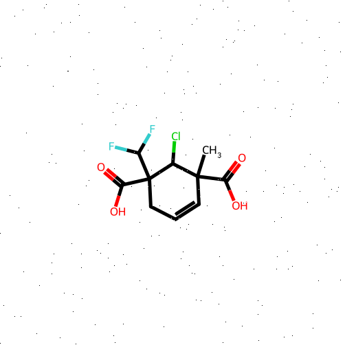 CC1(C(=O)O)C=CCC(C(=O)O)(C(F)F)C1Cl